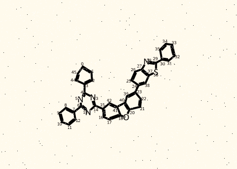 c1ccc(-c2nc(-c3ccccc3)nc(-c3ccc4oc5ccc(-c6ccc7nc(-c8ccccc8)sc7c6)cc5c4c3)n2)cc1